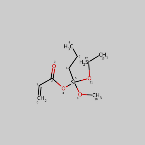 C=CC(=O)O[Si](CCC)(OC)O[SiH2]C